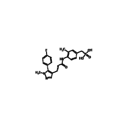 Cc1cc(CP(=O)(O)O)ccc1NC(=O)/C=C/c1cnn(C)c1-c1ccc(F)cc1